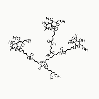 COCC(CO)CCCCNC(=O)[C@@H](CCCCNC(=O)CCCCO[C@@H]1OC(CO)[C@H](O)[C@H](O)C1NC(C)=O)NC(=O)CC[C@H](CCCCNC(=O)CCCCO[C@@H]1OC(CO)[C@H](O)[C@H](O)C1NC(C)=O)NC(=O)CCCNC(=O)CCCCO[C@@H]1OC(CO)[C@H](O)[C@H](O)C1NC(C)=O